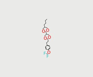 CCCCC1COC(C2COC(CCc3ccc(OC(F)F)cc3)OC2)OC1